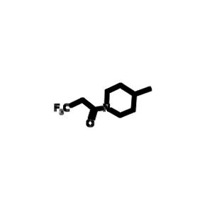 CC1CCN(C(=O)CC(F)(F)F)CC1